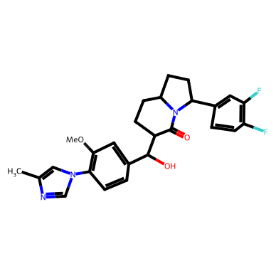 COc1cc(C(O)C2CCC3CCC(c4ccc(F)c(F)c4)N3C2=O)ccc1-n1cnc(C)c1